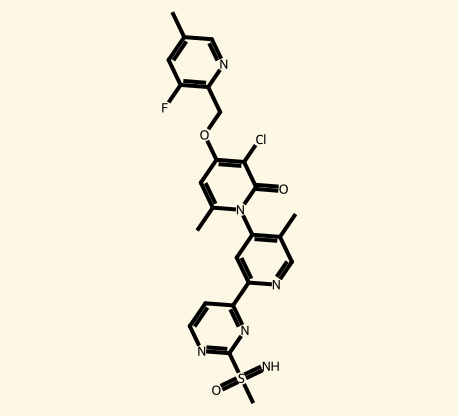 Cc1cnc(COc2cc(C)n(-c3cc(-c4ccnc(S(C)(=N)=O)n4)ncc3C)c(=O)c2Cl)c(F)c1